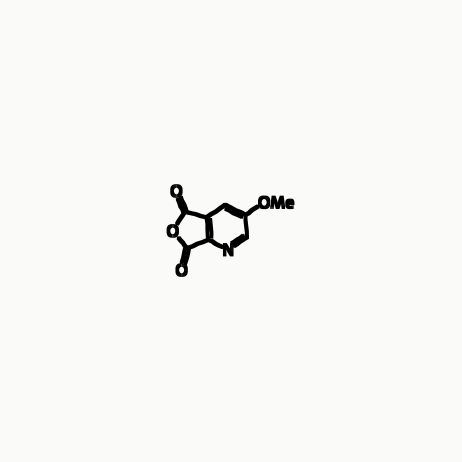 COc1cnc2c(c1)C(=O)OC2=O